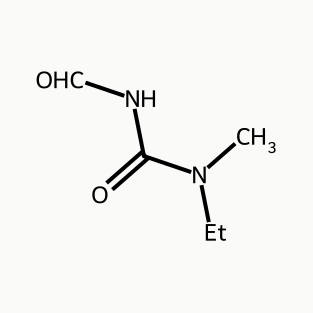 CCN(C)C(=O)NC=O